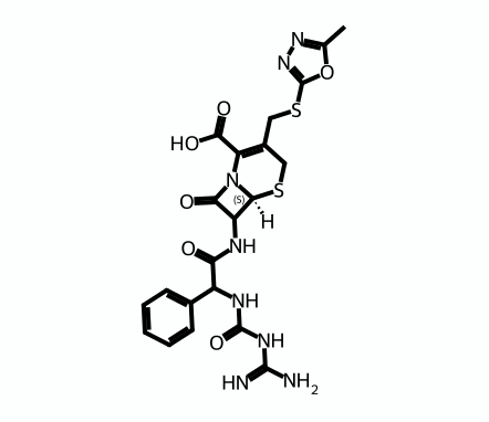 Cc1nnc(SCC2=C(C(=O)O)N3C(=O)C(NC(=O)C(NC(=O)NC(=N)N)c4ccccc4)[C@@H]3SC2)o1